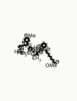 C=C[C@@H]1C[C@]1(NC(=O)[C@@H]1C[C@@H](Oc2cc(-c3csc(NC(C)C)n3)nc3cc(OC)ccc23)CN1C(=O)O)C(=O)NS(=O)(=O)c1ccccc1NC(=O)CCCCCCCC(=O)OC